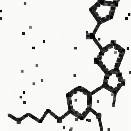 COc1cc(OCCCSC)ccc1-c1c(C)sc2cnc(Nc3cnn(C)c3)nc12